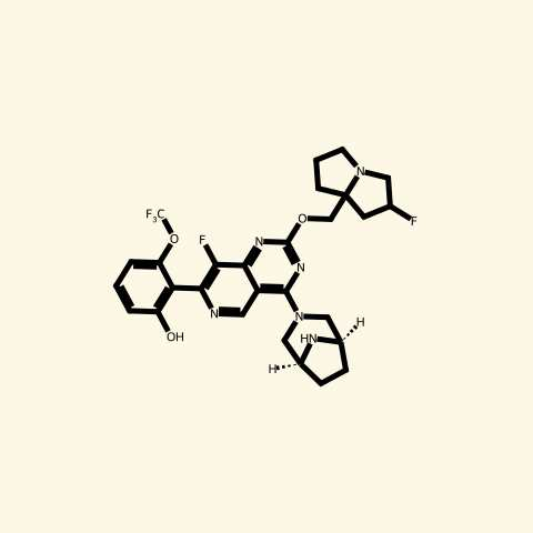 Oc1cccc(OC(F)(F)F)c1-c1ncc2c(N3C[C@H]4CC[C@@H](C3)N4)nc(OCC34CCCN3CC(F)C4)nc2c1F